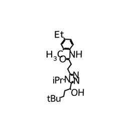 CCc1ccc(NC(=O)CCc2nnc(C(O)CCC(C)(C)C)n2C(C)C)c(C)c1